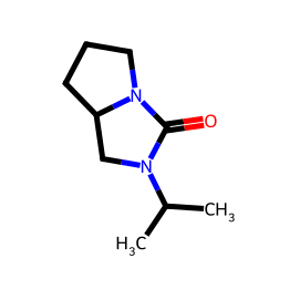 CC(C)N1CC2CCCN2C1=O